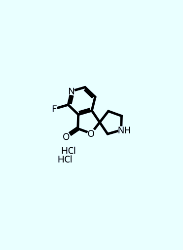 Cl.Cl.O=C1OC2(CCNC2)c2ccnc(F)c21